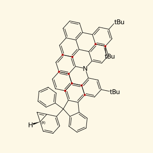 CC(C)(C)c1cc(-c2cccc3cccc(-c4ccccc4N(c4ccccc4-c4ccc5c(c4)C(C4=CC=C[C@@H]6C=C46)(c4ccccc4)c4ccccc4-5)c4cc(C(C)(C)C)ccc4-c4ccccc4)c23)cc(C(C)(C)C)c1